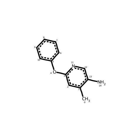 Cc1cc(Oc2ccccc2)ncc1N